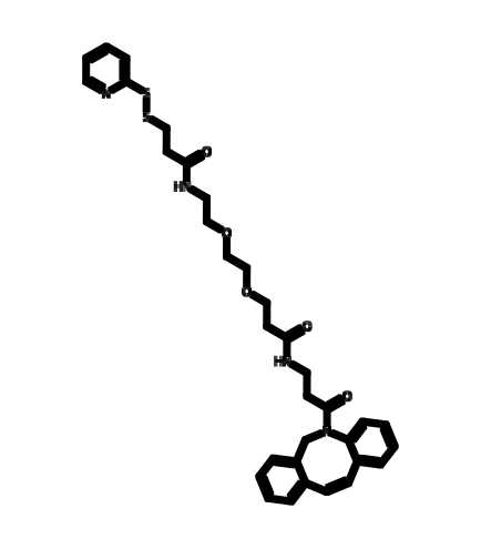 O=C(CCOCCOCCNC(=O)CCSSc1ccccn1)NCCC(=O)N1Cc2ccccc2/C=C\c2ccccc21